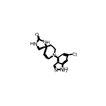 O=C1NCC2(CCN(c3cc(Cl)cc4[nH]ncc34)CC2)N1